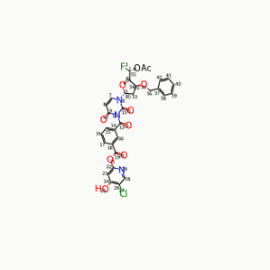 CC(=O)O[C@@H](F)[C@H]1O[C@@H](n2ccc(=O)n(C(=O)c3cccc(C(=O)Oc4cc(O)c(Cl)cn4)c3)c2=O)C[C@@H]1OCc1ccccc1